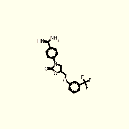 N=C(N)c1ccc(N2CC(COc3cccc(C(F)(F)F)c3)OC2=O)cc1